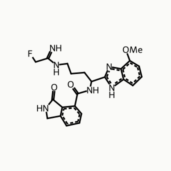 COc1cccc2[nH]c(C(CCCNC(=N)CF)NC(=O)c3cccc4c3C(=O)NC4)nc12